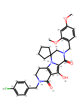 COc1ccc(CN2CC3(CCCC3)n3c4c(c(O)c3C2=O)C(=O)N(Cc2ccc(F)cc2)CC4)c(OC)c1